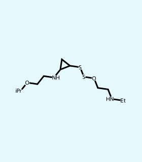 CCNCCOSSC1CC1NCCOC(C)C